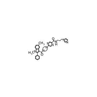 Cc1ccc2c(c1)c(C(=O)N1CCN(c3cnc(C(=O)NCCCn4ccnc4)cn3)CC1)c(-c1ccccc1)n2C